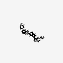 CN1CCN(c2cccc(C(=O)Nc3cc4nc(-c5cnn6c5CN(CCF)CC6)ccc4cn3)c2)CC1